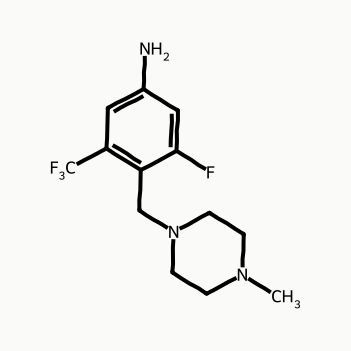 CN1CCN(Cc2c(F)cc(N)cc2C(F)(F)F)CC1